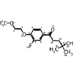 COCCOc1ccc(C(=O)CCC(C)(C)C)cc1F